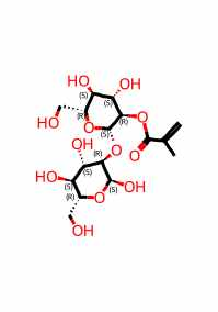 C=C(C)C(=O)O[C@H]1[C@H](O[C@@H]2[C@@H](O)[C@H](O)[C@@H](CO)O[C@@H]2O)O[C@H](CO)[C@@H](O)[C@@H]1O